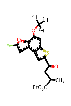 [2H]C([2H])([2H])Oc1cc2sc(C(=O)CC(C)C(=O)OCC)cc2c2cc(F)oc12